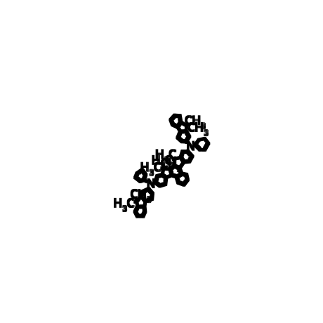 CC1(C)c2ccccc2-c2ccc(N(C3=CC=CCC3)c3ccc4c(c3)C(C)(C)c3c5c(c6ccccc6c3-4)-c3ccc(N(c4ccccc4)c4ccc6c(c4)C(C)(C)c4ccccc4-6)cc3C5(C)C)cc21